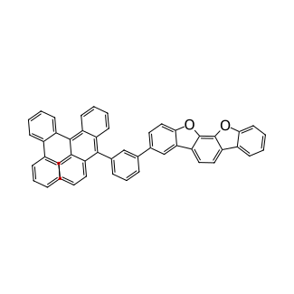 c1ccc(-c2ccccc2-c2c3ccccc3c(-c3cccc(-c4ccc5oc6c(ccc7c8ccccc8oc76)c5c4)c3)c3ccccc23)cc1